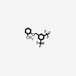 Cc1ccccc1OCc1cc(C(F)(F)F)cc(C(F)(F)F)c1